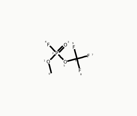 COP(=O)(F)OC(F)(F)F